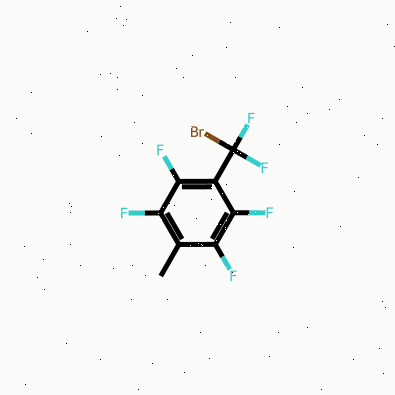 Cc1c(F)c(F)c(C(F)(F)Br)c(F)c1F